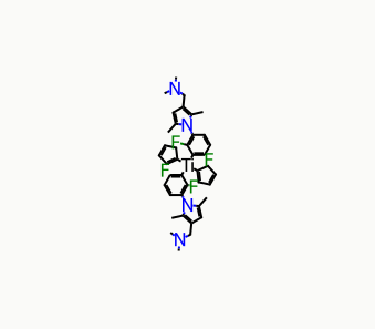 Cc1cc(CN(C)C)c(C)n1-c1ccc(F)[c]([Ti]([C]2=CC=CC2)([C]2=CC=CC2)[c]2c(F)ccc(-n3c(C)cc(CN(C)C)c3C)c2F)c1F